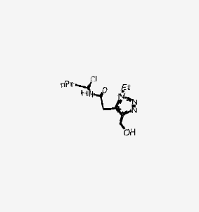 CCCC(Cl)NC(=O)Cc1c(CO)nnn1CC